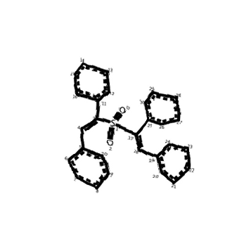 O=S(=O)(C(=Cc1ccccc1)c1ccccc1)C(=Cc1ccccc1)c1ccccc1